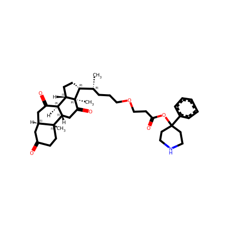 C[C@H](CCCOCCC(=O)OC1(c2ccccc2)CCNCC1)[C@H]1CC[C@H]2[C@@H]3C(=O)C[C@@H]4CC(=O)CC[C@]4(C)[C@H]3CC(=O)[C@]12C